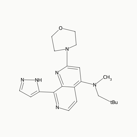 CN(CC(C)(C)C)c1cc(N2CCOCC2)nc2c(-c3ccn[nH]3)nccc12